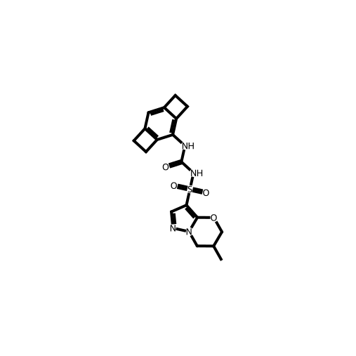 CC1COc2c(S(=O)(=O)NC(=O)Nc3c4c(cc5c3CC5)CC4)cnn2C1